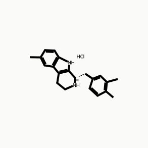 Cc1ccc2[nH]c3c(c2c1)CCN[C@H]3Cc1ccc(C)c(C)c1.Cl